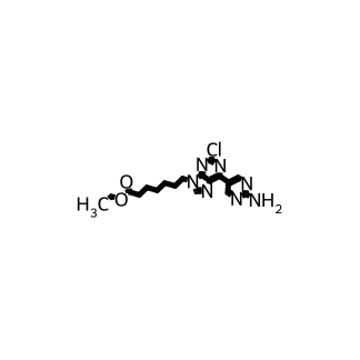 CCOC(=O)CCCCCCn1cnc2c(-c3cnc(N)nc3)nc(Cl)nc21